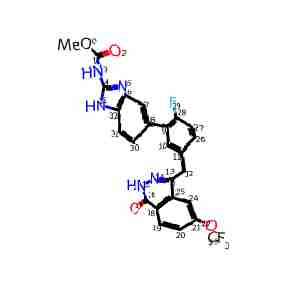 COC(=O)Nc1nc2cc(-c3cc(Cc4n[nH]c(=O)c5ccc(OC(F)(F)F)cc45)ccc3F)ccc2[nH]1